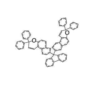 C1=CC(c2ccccc2)(c2ccccc2)Oc2ccc3cc(C4(c5ccc6c7c(ccc6c5)OC(c5ccccc5)(c5ccccc5)C=C7)c5ccccc5-c5ccccc54)ccc3c21